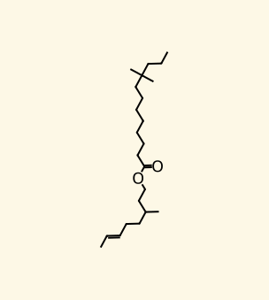 C/C=C/CCC(C)CCOC(=O)CCCCCCCC(C)(C)CCC